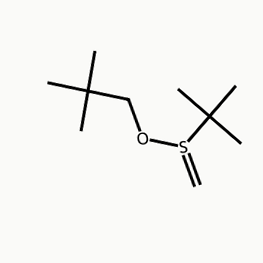 C=S(OCC(C)(C)C)C(C)(C)C